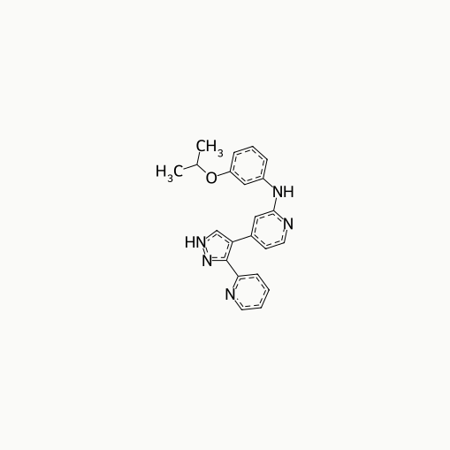 CC(C)Oc1cccc(Nc2cc(-c3c[nH]nc3-c3ccccn3)ccn2)c1